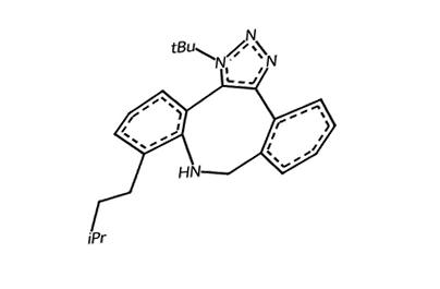 CC(C)CCc1cccc2c1NCc1ccccc1-c1nnn(C(C)(C)C)c1-2